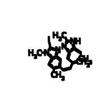 C=C(/C=C\c1cc2nc(I)n(C)c2cc1C)/C=c1/nc(C)[nH]/c1=C/C